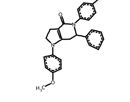 COc1ccc(N2CCC3=C2CC(c2ccccc2)N(c2ccc(Cl)cc2)C3=O)cc1